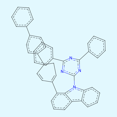 C1=CC(c2ccc(-c3ccccc3)cc2)CC=C1c1cccc2c3ccccc3n(-c3nc(-c4ccccc4)nc(-c4ccccc4)n3)c12